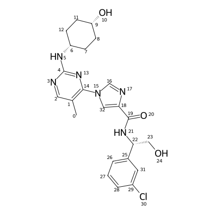 Cc1cnc(N[C@H]2CC[C@@H](O)CC2)nc1-n1cnc(C(=O)N[C@H](CO)c2cccc(Cl)c2)c1